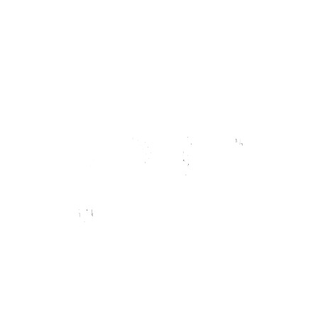 NCc1ccc(CC(N)=O)s1